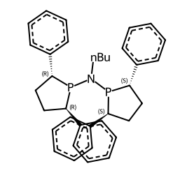 CCCCN(P1[C@@H](c2ccccc2)CC[C@@H]1c1ccccc1)P1[C@H](c2ccccc2)CC[C@H]1c1ccccc1